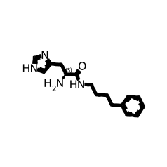 N[C@@H](Cc1c[nH]cn1)C(=O)NCCCCc1ccccc1